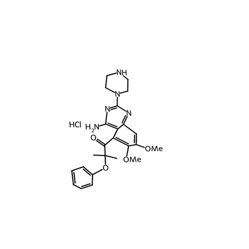 COc1cc2nc(N3CCNCC3)nc(N)c2c(C(=O)C(C)(C)Oc2ccccc2)c1OC.Cl